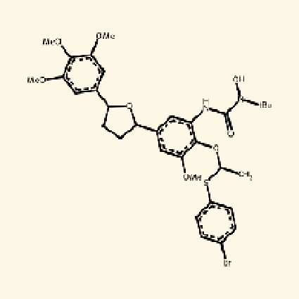 COc1cc(C2CCC(c3cc(OC)c(OC)c(OC)c3)O2)cc(NC(=O)N(O)C(C)(C)C)c1OC(C)Sc1ccc(Br)cc1